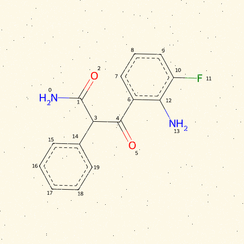 NC(=O)C(C(=O)c1cccc(F)c1N)c1ccccc1